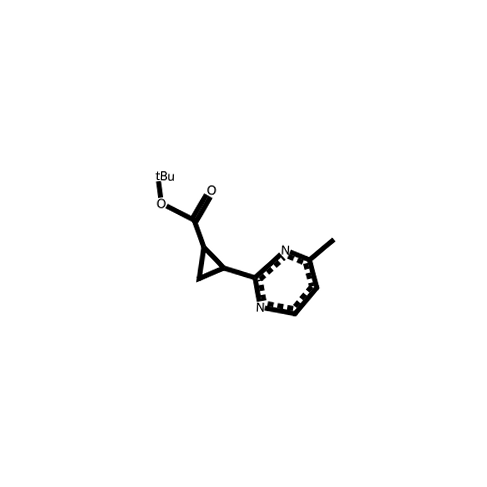 Cc1ccnc(C2CC2C(=O)OC(C)(C)C)n1